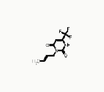 C/C=C/Cn1c(=O)cc(C(F)(F)F)[nH]c1=O